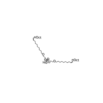 CCCCCCCC/C=C\CCCCCCCCOCCOP(=O)(O)OCCOCCCCCCCC/C=C\CCCCCCCC